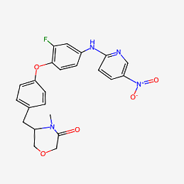 CN1C(=O)COCC1Cc1ccc(Oc2ccc(Nc3ccc([N+](=O)[O-])cn3)cc2F)cc1